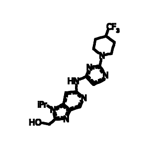 CC(C)n1c(CO)nc2cnc(Nc3ccnc(N4CCC(C(F)(F)F)CC4)n3)cc21